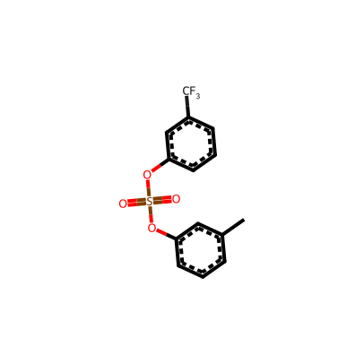 Cc1cccc(OS(=O)(=O)Oc2cccc(C(F)(F)F)c2)c1